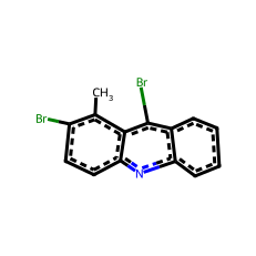 Cc1c(Br)ccc2nc3ccccc3c(Br)c12